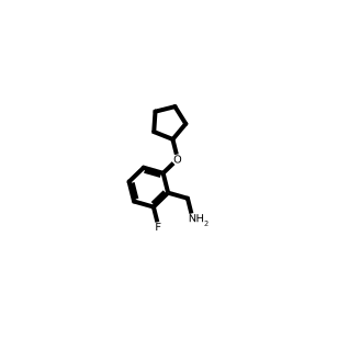 NCc1c(F)cccc1OC1CCCC1